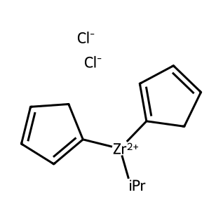 C[CH](C)[Zr+2]([C]1=CC=CC1)[C]1=CC=CC1.[Cl-].[Cl-]